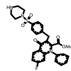 COC(=O)c1c(Cc2ccc(S(=O)(=O)N3CCNCC3)cc2)c(=O)c2ccc(F)cc2n1-c1ccccc1